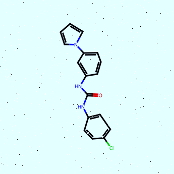 O=C(Nc1ccc(Cl)cc1)Nc1cccc(-n2cccc2)c1